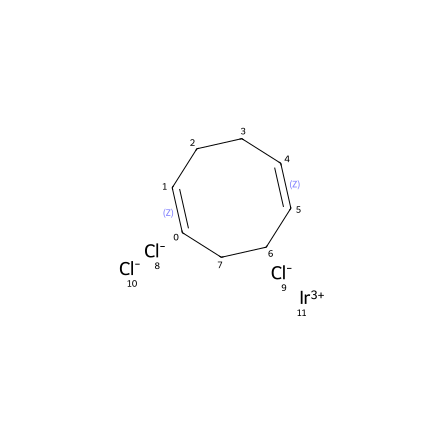 C1=C\CC/C=C\CC/1.[Cl-].[Cl-].[Cl-].[Ir+3]